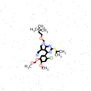 COCOc1cc(-c2nc(SC(C)C)nc3c2c(C#N)cn3COCC[Si](C)(C)C)c(Cl)cc1OC